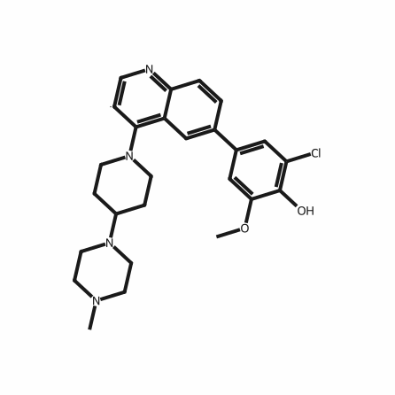 COc1cc(-c2ccc3nc[c]c(N4CCC(N5CCN(C)CC5)CC4)c3c2)cc(Cl)c1O